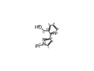 CC(C)n1ccc(-c2ncccc2CO)n1